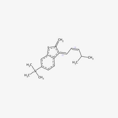 C=c1sc2cc([Si](C)(C)C)ccc2/c1=C/C=C\C(C)C